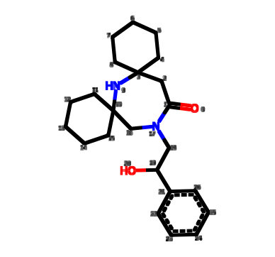 O=C1CC2(CCCCC2)NC2(CCCCC2)CN1CC(O)c1ccccc1